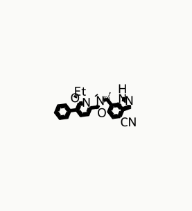 CCOc1nc(C(=O)N(C)[C@H](C)c2ccc(C#N)c3cn[nH]c23)ccc1-c1ccccc1